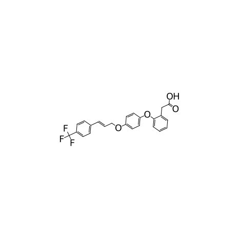 O=C(O)Cc1ccccc1Oc1ccc(OC/C=C/c2ccc(C(F)(F)F)cc2)cc1